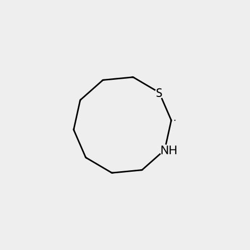 [CH]1NCCCCCCCS1